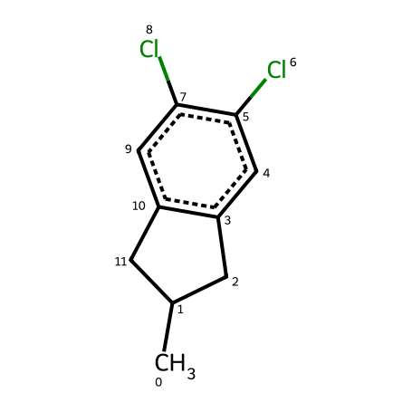 CC1Cc2cc(Cl)c(Cl)cc2C1